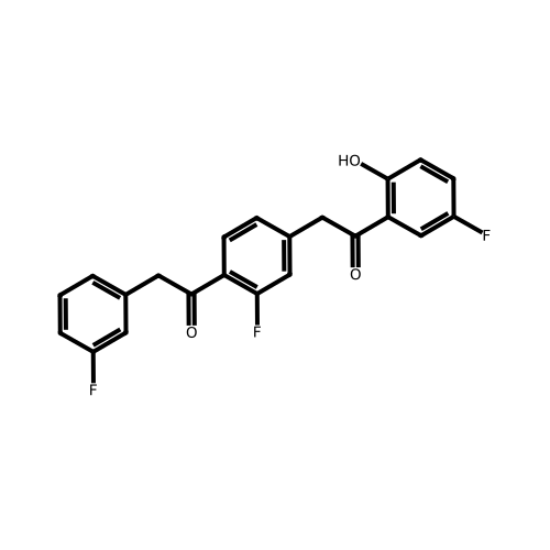 O=C(Cc1ccc(C(=O)Cc2cccc(F)c2)c(F)c1)c1cc(F)ccc1O